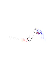 COCCOCOc1ccc(CCC2=CC=C3C(N)=CN=C4C(C)=CC=CC34N2)cc1